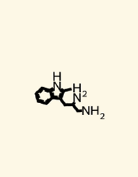 Cc1[nH]c2ccccc2c1CC(N)CN